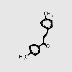 Cc1ccc(/C=C/C(=O)c2ccc(C)cc2)cc1